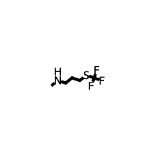 CNCCCSC(F)(F)F